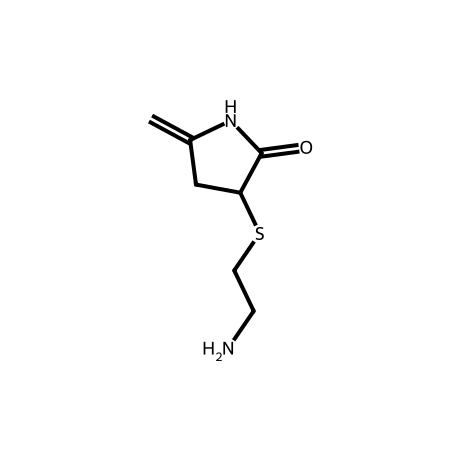 C=C1CC(SCCN)C(=O)N1